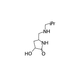 CC(C)CNCC1CC(O)C(=O)N1